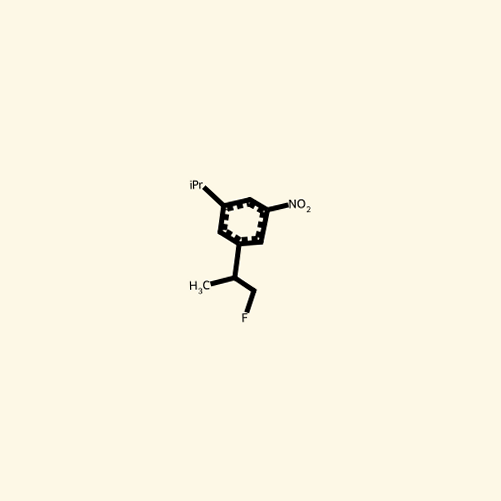 C[C](CF)c1cc(C(C)C)cc([N+](=O)[O-])c1